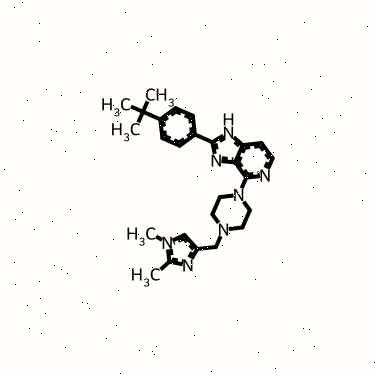 Cc1nc(CN2CCN(c3nccc4[nH]c(-c5ccc(C(C)(C)C)cc5)nc34)CC2)cn1C